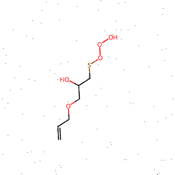 C=CCOCC(O)CSOOO